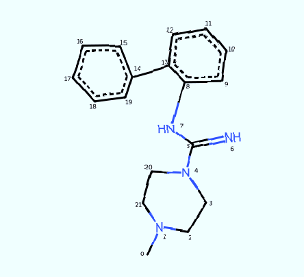 CN1CCN(C(=N)Nc2ccccc2-c2ccccc2)CC1